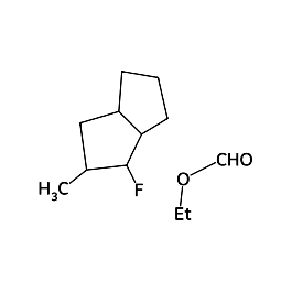 CC1CC2CCCC2C1F.CCOC=O